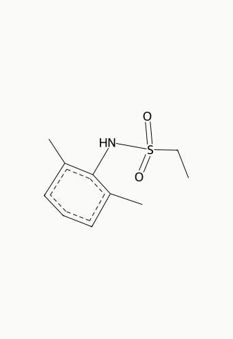 CCS(=O)(=O)Nc1c(C)cccc1C